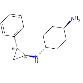 N[C@H]1CC[C@H](N[C@H]2C[C@@H]2c2ccccc2)CC1